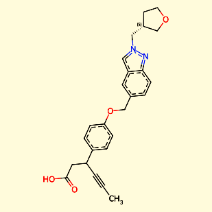 CC#CC(CC(=O)O)c1ccc(OCc2ccc3nn(C[C@@H]4CCOC4)cc3c2)cc1